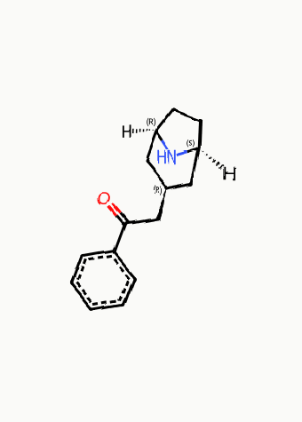 O=C(C[C@H]1C[C@H]2CC[C@@H](C1)N2)c1ccccc1